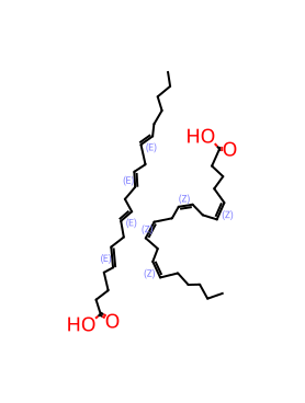 CCCCC/C=C/C/C=C/C/C=C/C/C=C/CCCC(=O)O.CCCCC/C=C\C/C=C\C/C=C\C/C=C\CCCC(=O)O